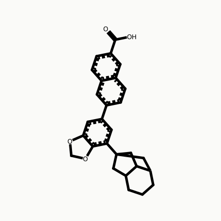 O=C(O)c1ccc2cc(-c3cc4c(c(C56CC7CCCC(C5)C7C6)c3)OCO4)ccc2c1